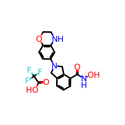 O=C(NO)c1cccc2c1CN(c1ccc3c(c1)NCCO3)C2.O=C(O)C(F)(F)F